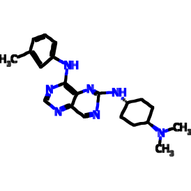 Cc1cccc(Nc2ncnc3cnc(N[C@H]4CC[C@H](N(C)C)CC4)nc23)c1